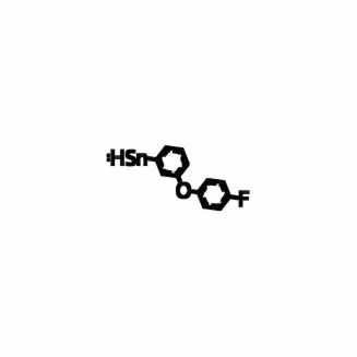 Fc1ccc(Oc2ccc[c]([SnH])c2)cc1